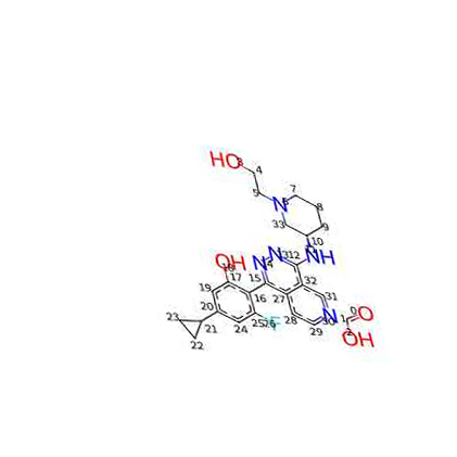 O=CO.OCCN1CCC[C@@H](Nc2nnc(-c3c(O)cc(C4CC4)cc3F)c3ccncc23)C1